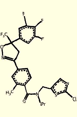 Cc1cc(C2=NOC(c3cc(F)c(F)c(F)c3)(C(F)(F)F)C2)ccc1C(=O)N(Cc1cnc(Cl)s1)C(C)C